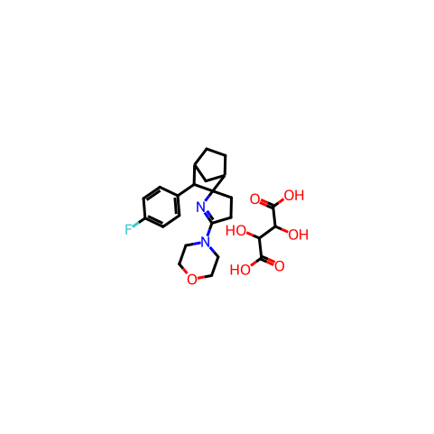 Fc1ccc(C2C3CCC(C3)C23CCC(N2CCOCC2)=N3)cc1.O=C(O)C(O)C(O)C(=O)O